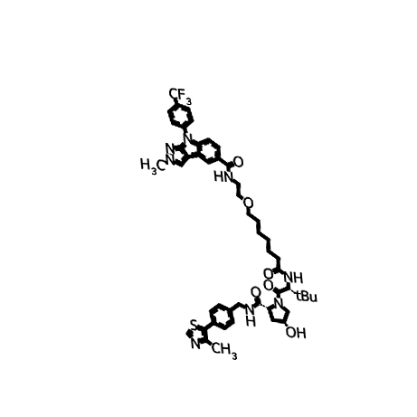 Cc1ncsc1-c1ccc(CNC(=O)[C@H]2C[C@H](O)CN2C(=O)[C@H](NC(=O)CCCCCCOCCNC(=O)c2ccc3c(c2)c2cn(C)nc2n3-c2ccc(C(F)(F)F)cc2)C(C)(C)C)cc1